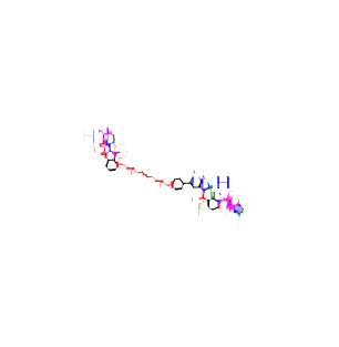 O=C1CCC(N2C(=O)c3cccc(OCCOCCOCCOc4ccc(-c5cnc6[nH]cc(C(=O)c7c(F)ccc(NS(=O)(=O)N8CC[C@@H](F)C8)c7F)c6c5)cc4)c3C2=O)C(=O)N1